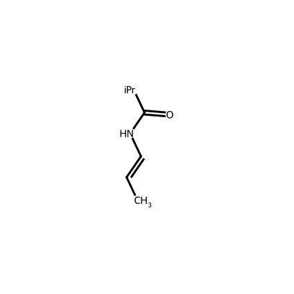 CC=CNC(=O)C(C)C